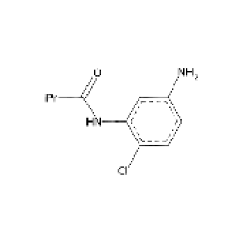 CC(C)C(=O)Nc1cc(N)ccc1Cl